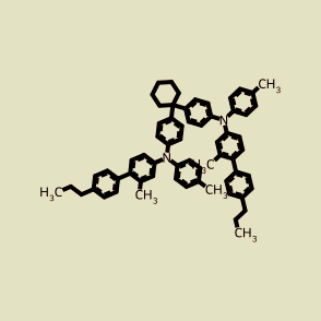 CCCc1ccc(-c2ccc(N(c3ccc(C)cc3)c3ccc(C4(c5ccc(N(c6ccc(C)cc6)c6ccc(-c7ccc(CCC)cc7)c(C)c6)cc5)CCCCC4)cc3)cc2C)cc1